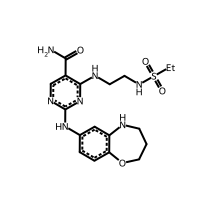 CCS(=O)(=O)NCCNc1nc(Nc2ccc3c(c2)NCCCO3)ncc1C(N)=O